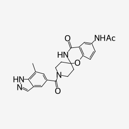 CC(=O)Nc1ccc2c(c1)C(=O)NC1(CCN(C(=O)c3cc(C)c4[nH]ncc4c3)CC1)O2